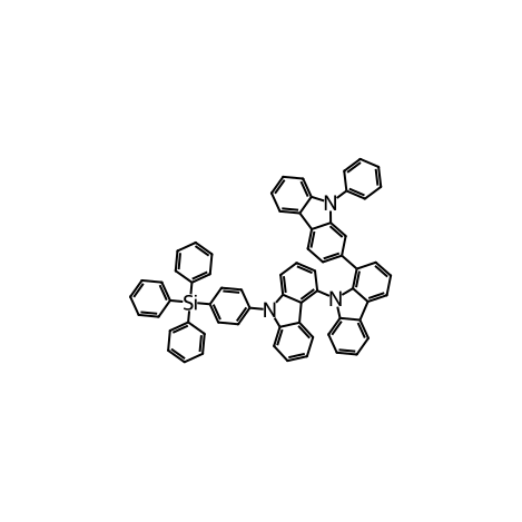 c1ccc(-n2c3ccccc3c3ccc(-c4cccc5c6ccccc6n(-c6cccc7c6c6ccccc6n7-c6ccc([Si](c7ccccc7)(c7ccccc7)c7ccccc7)cc6)c45)cc32)cc1